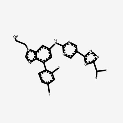 OCCn1cnc2c(-c3ccc(F)cc3F)cc(Nc3ncc(-c4nnc(C(F)F)o4)cn3)cc21